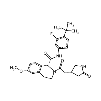 COc1ccc2c(c1)CCN(C(=O)CC1CNC(=O)C1)[C@H]2C(=O)Nc1ccc(C(C)(C)C)c(F)c1